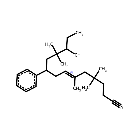 CCC(C)C(C)(C)CC(C/C=C(\C)CC(C)(C)CCC#N)c1ccccc1